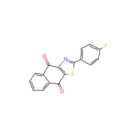 O=C1c2ccccc2C(=O)c2sc(-c3ccc(F)cc3)nc21